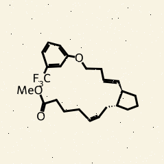 COC(=O)CCC/C=C\C[C@H]1CCC[C@@H]1/C=C/CCOc1cccc(C(F)(F)F)c1